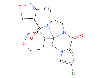 Cc1nocc1C(=O)N1CCN2C(=O)c3cc(Cl)cn3CC12C1CCOCC1